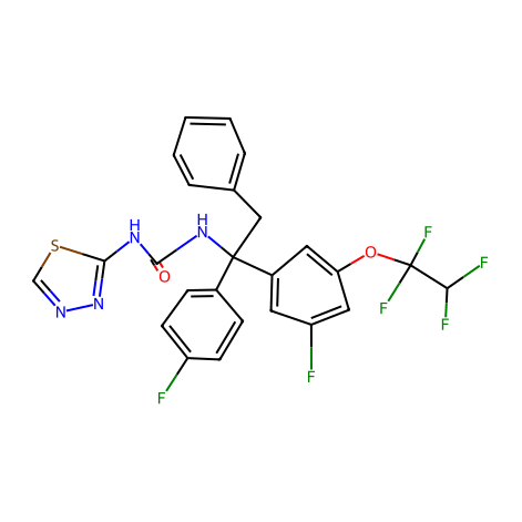 O=C(Nc1nncs1)NC(Cc1ccccc1)(c1ccc(F)cc1)c1cc(F)cc(OC(F)(F)C(F)F)c1